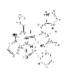 COC[C@@H]1Nc2ccccc2[C@H]2[C@@H]1CCN2C(=O)[C@H]1CCCC[C@H]1NC(=O)c1ccc2[nH]ccc2c1